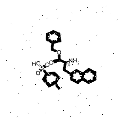 Cc1ccc(S(=O)(=O)O)cc1.N[C@@H](Cc1ccc2ccccc2c1)C(=O)OCc1ccccc1